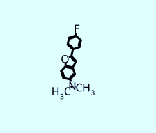 CN(C)c1ccc2oc(-c3ccc(F)cc3)cc2c1